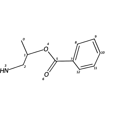 CC(C[NH])OC(=O)c1ccccc1